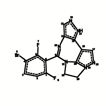 Fc1ccc(Br)c(F)c1C1=Nc2cn[nH]c2-c2cnn3c2N1CC3